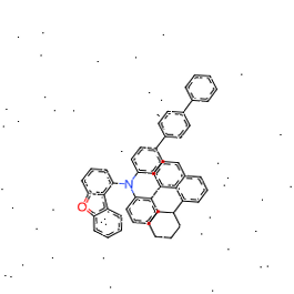 c1ccc(-c2ccc(-c3ccc(N(c4ccccc4-c4cccc5cccc(C6CCCCC6)c45)c4cccc5oc6ccccc6c45)cc3)cc2)cc1